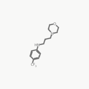 FC(F)(F)c1c[c]c(NCCCN2CCOCC2)cc1